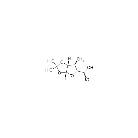 CC[C@H](O)[C@@H]1O[C@@H]2OC(C)(C)O[C@@H]2[C@H]1C